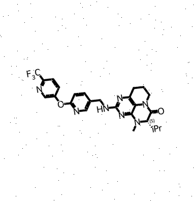 CC(C)[C@H]1C(=O)N2CCCc3nc(NCc4ccc(Oc5ccc(C(F)(F)F)nc5)nc4)nc(c32)N1C